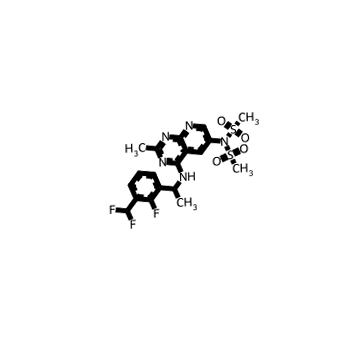 Cc1nc(NC(C)c2cccc(C(F)F)c2F)c2cc(N(S(C)(=O)=O)S(C)(=O)=O)cnc2n1